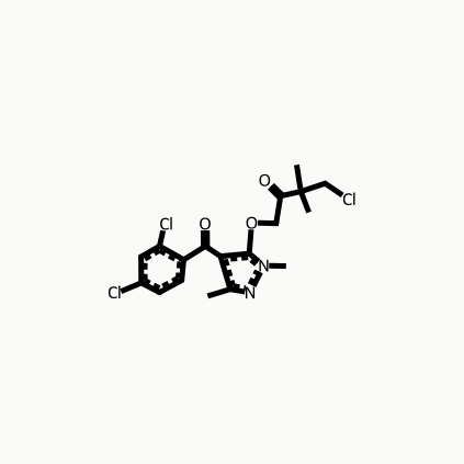 Cc1nn(C)c(OCC(=O)C(C)(C)CCl)c1C(=O)c1ccc(Cl)cc1Cl